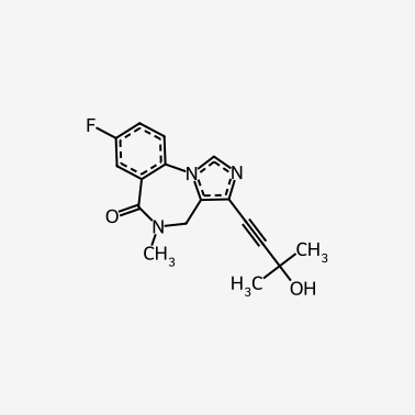 CN1Cc2c(C#CC(C)(C)O)ncn2-c2ccc(F)cc2C1=O